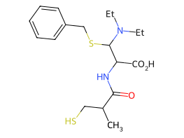 CCN(CC)C(SCc1ccccc1)C(NC(=O)C(C)CS)C(=O)O